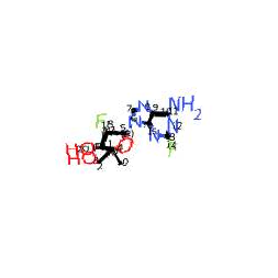 C[C@]1(CO)O[C@@H](n2cnc3c(N)nc(F)nc32)[C@@H](F)[C@@H]1O